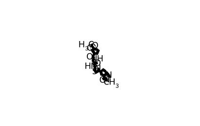 Cn1cnc2ccc(-c3csc(NC(=O)CNC(=O)c4cccc(S(C)(=O)=O)c4)n3)cc2c1=O